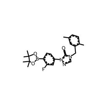 Cc1ccc(C)c(Cn2cnn(-c3ccc(B4OC(C)(C)C(C)(C)O4)c(F)c3)c2=O)c1